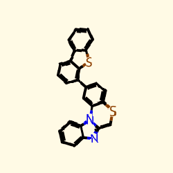 c1ccc2c(c1)nc1n2-c2cc(-c3cccc4c3sc3ccccc34)ccc2SC1